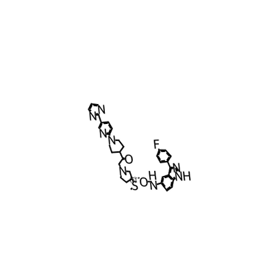 CS[C@@]1(COCNc2ccc3[nH]nc(-c4ccc(F)cc4)c3c2)CCN(CC(=O)C2CCN(c3ccc(-c4ncccn4)cn3)CC2)C1